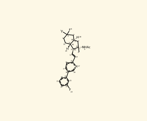 CC(=O)N[C@@]1(C)C[C@@H]2CC(F)(F)CC[C@H]2[C@@H]1C=Cc1ccc(-c2cccc(F)c2)cn1